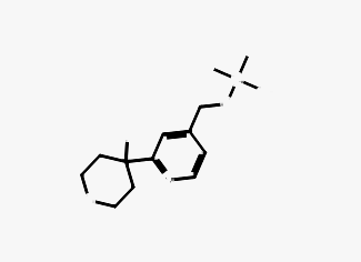 CC(C)(C)[Si](C)(C)OCc1ccnc(C2(O)CCOCC2)c1